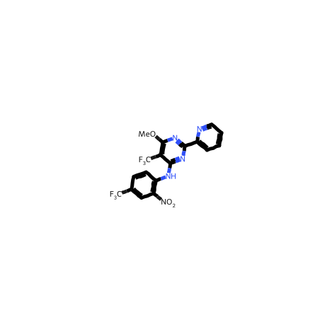 COc1nc(-c2ccccn2)nc(Nc2ccc(C(F)(F)F)cc2[N+](=O)[O-])c1C(F)(F)F